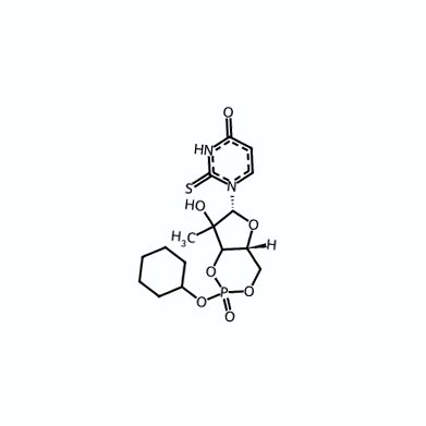 CC1(O)C2OP(=O)(OC3CCCCC3)OC[C@H]2O[C@H]1n1ccc(=O)[nH]c1=S